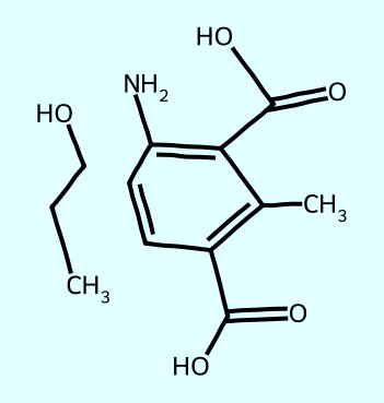 CCCO.Cc1c(C(=O)O)ccc(N)c1C(=O)O